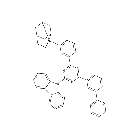 c1ccc(-c2cccc(-c3nc(-c4cccc(N5C6CC7CC(C6)CC5C7)c4)nc(-n4c5ccccc5c5ccccc54)n3)c2)cc1